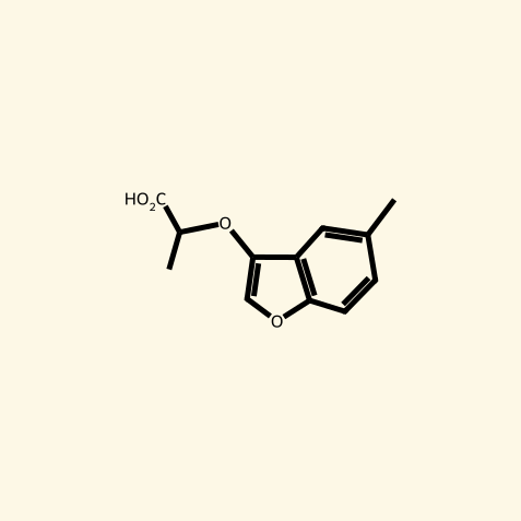 Cc1ccc2occ(OC(C)C(=O)O)c2c1